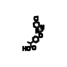 CC(C(=O)O)c1ccc(Oc2cnc3cc(Cl)ccc3n2)cc1